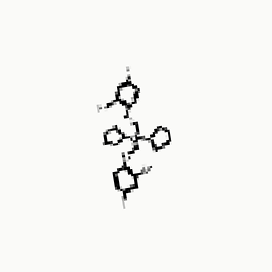 Fc1ccc(OC[Si](COc2ccc(F)cc2Br)(C2CCCC2)C2CCCC2)c(Br)c1